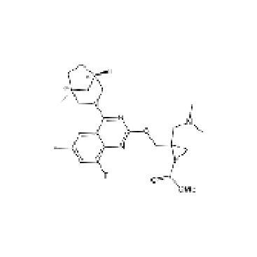 COC(=O)C1CC1(COc1nc(N2C[C@H]3CC[C@@](C)(C3)C2)c2cc(F)cc(F)c2n1)CN(C)C